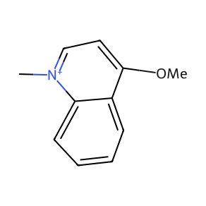 COc1cc[n+](C)c2ccccc12